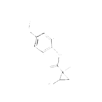 CC(C)Oc1ccc(NC(=O)C2(C)CC2Br)cc1